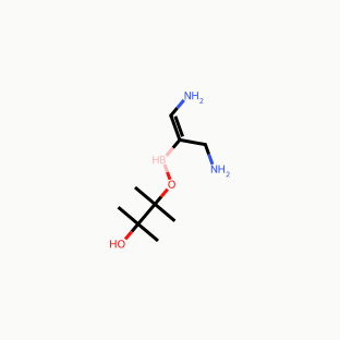 CC(C)(O)C(C)(C)OB/C(=C/N)CN